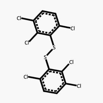 Clc1ccc(Cl)c(SSc2c(Cl)ccc(Cl)c2Cl)c1Cl